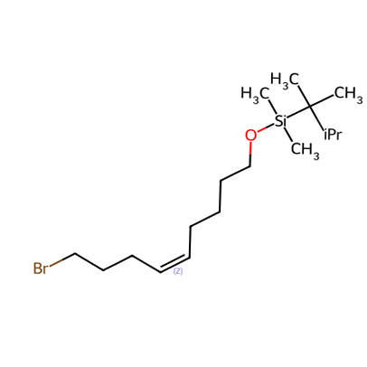 CC(C)C(C)(C)[Si](C)(C)OCCCC/C=C\CCCBr